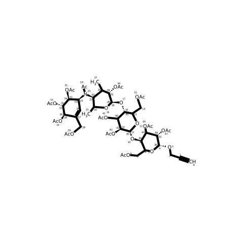 C#CCO[C@@H]1OC(COC(C)=O)[C@@H](O[C@H]2OC(COC(C)=O)[C@@H](O[C@H]3OC(C)[C@@H](N(C(C)=O)[C@H]4C=C(COC(C)=O)[C@@H](OC(C)=O)[C@H](OC(C)=O)[C@H]4OC(C)=O)C(C)[C@@H]3OC(C)=O)C(OC(C)=O)[C@@H]2OC(C)=O)C(OC(C)=O)[C@@H]1OC(C)=O